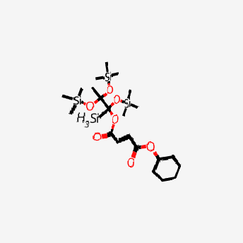 CC(O[Si](C)(C)C)(O[Si](C)(C)C)C([SiH3])(OC(=O)C=CC(=O)OC1CCCCC1)O[Si](C)(C)C